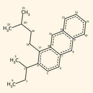 CCC(C)c1ccc2cc3ccccc3cc2c1CCC(C)C